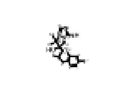 CC(Cc1ccc(F)cc1Cl)CC(O)(Cn1ncnc1S)C(C)(C)C